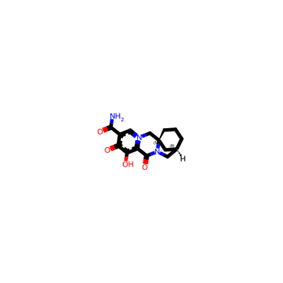 NC(=O)c1cn2c(c(O)c1=O)C(=O)N1C[C@@H]3CCC[C@]1(C3)C2